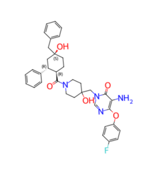 Nc1c(Oc2ccc(F)cc2)ncn(CC2(O)CCN(C(=O)[C@@H]3CC[C@@](O)(Cc4ccccc4)C[C@H]3c3ccccc3)CC2)c1=O